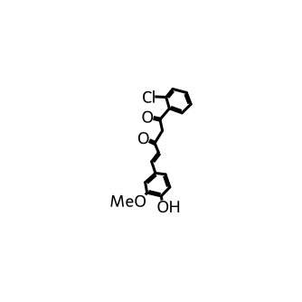 COc1cc(C=CC(=O)CC(=O)c2ccccc2Cl)ccc1O